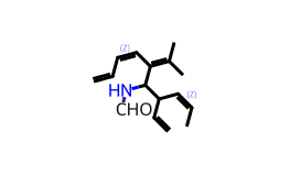 C=C/C=C\C(=C(C)C)C(NC=O)C(C=C)/C=C\C